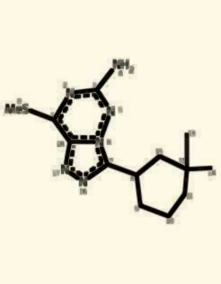 CSc1nc(N)nn2c(C3CCCC(C)(C)C3)nnc12